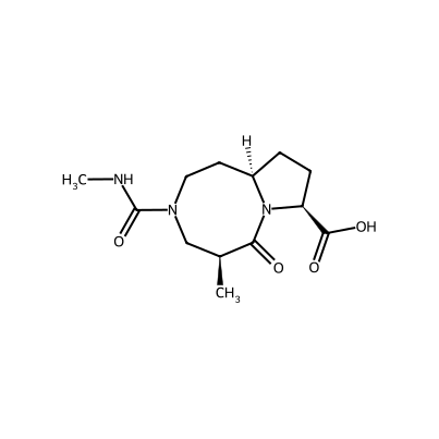 CNC(=O)N1CC[C@H]2CC[C@@H](C(=O)O)N2C(=O)[C@@H](C)C1